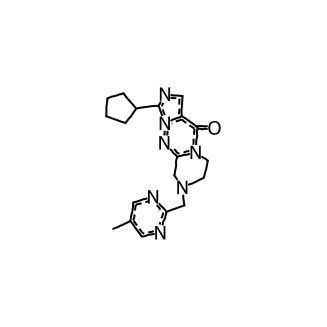 Cc1cnc(CN2CCn3c(nn4c(C5CCCC5)ncc4c3=O)C2)nc1